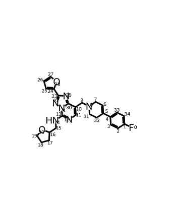 Fc1ccc(C2=CCN(Cc3cnc(NCC4CCCO4)n4nc(-c5ccco5)nc34)CC2)cc1